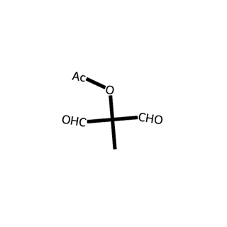 CC(=O)OC(C)(C=O)C=O